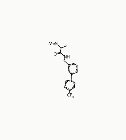 CNC(C)C(=O)NCc1cccc(-c2ccc(C(F)(F)F)cc2)c1